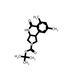 Cc1cc(C)c2c(c1)C1CN(C(=O)OC(C)(C)C)CC1NC2=O